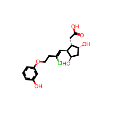 O=C(O)C[C@H]1[C@H](C=C(Cl)CCOc2cccc(O)c2)[C@H](O)C[C@H]1O